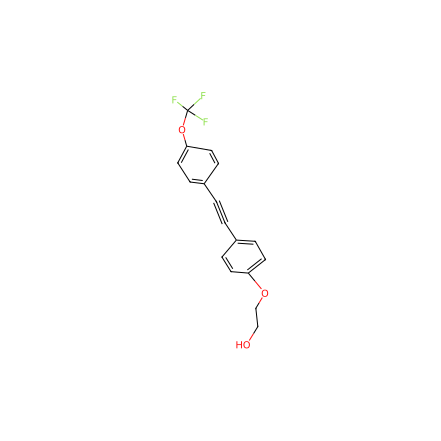 OCCOc1ccc(C#Cc2ccc(OC(F)(F)F)cc2)cc1